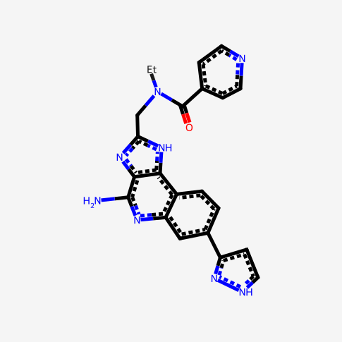 CCN(Cc1nc2c(N)nc3cc(-c4cc[nH]n4)ccc3c2[nH]1)C(=O)c1ccncc1